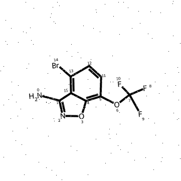 Nc1noc2c(OC(F)(F)F)ccc(Br)c12